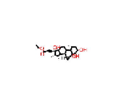 CCOC(=O)C#C[C@]1(O)[C@@H](C)[C@@H](C)C2C3C(CC[C@@]21C)[C@@]1(C)CC[C@H](O)C[C@@]1(O)C1C[C@H]31